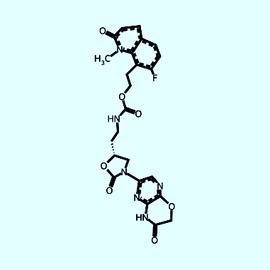 Cn1c(=O)ccc2ccc(F)c(CCOC(=O)NCC[C@@H]3CN(c4cnc5c(n4)NC(=O)CO5)C(=O)O3)c21